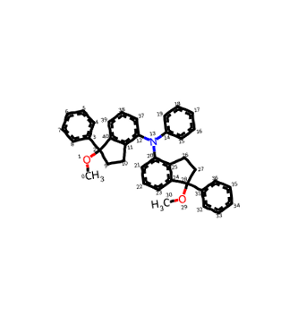 COC1(c2ccccc2)CCc2c(N(c3ccccc3)c3cccc4c3CCC4(OC)c3ccccc3)cccc21